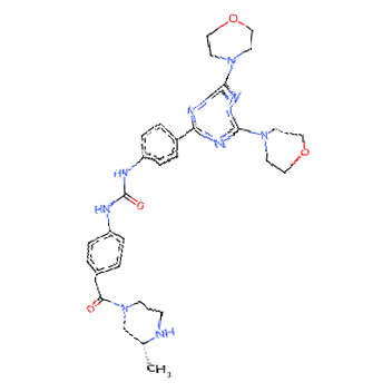 C[C@@H]1CN(C(=O)c2ccc(NC(=O)Nc3ccc(-c4nc(N5CCOCC5)nc(N5CCOCC5)n4)cc3)cc2)CCN1